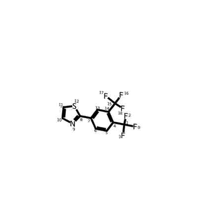 FC(F)(F)c1ccc(-c2nc[c]s2)cc1C(F)(F)F